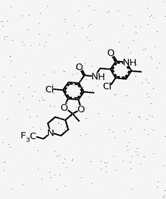 Cc1cc(Cl)c(CNC(=O)c2cc(Cl)c3c(c2C)OC(C)(C2CCN(CC(F)(F)F)CC2)O3)c(=O)[nH]1